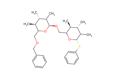 CC1[C@@H](OCC2O[C@@H](Sc3ccccc3)C(C)[C@@H](C)[C@@H]2C)OC(COCc2ccccc2)[C@@H](C)[C@@H]1C